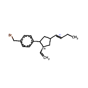 C=C[C@@H]1CC(/C=C/CC)CC1c1ccc(CBr)cc1